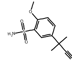 COc1ccc(C(C)(C)C#N)cc1S(N)(=O)=O